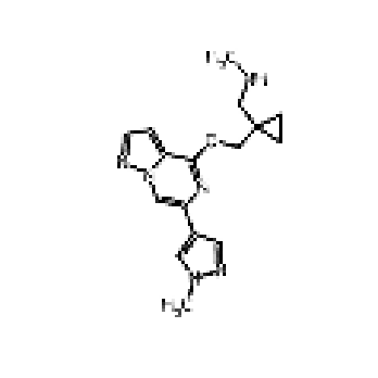 CNCC1(COc2nc(-c3cnn(C)c3)cn3nccc23)CC1